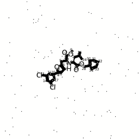 COC(=O)C(Cc1ccc(-c2cc(Cl)cc(Cl)c2)o1)N[C@@H](CC(C)C)C(=O)OCc1ccccc1